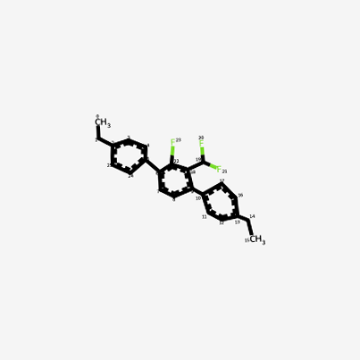 CCc1ccc(-c2ccc(-c3ccc(CC)cc3)c(C(F)F)c2F)cc1